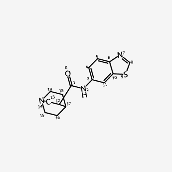 O=C(Nc1ccc2ncsc2c1)C1CN2CCC1CC2